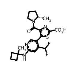 C[C@H]1CCCN1C(=O)c1nc(C(=O)O)sc1-c1cnc(NC2(C)CCC2)cc1C(F)F